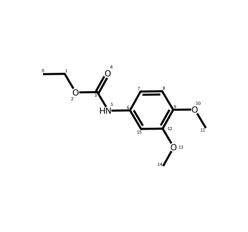 CCOC(=O)Nc1ccc(OC)c(OC)c1